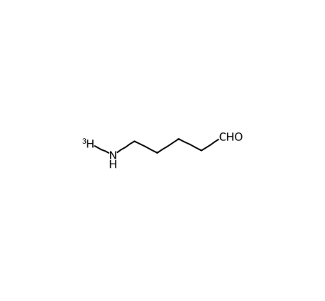 [3H]NCCCCC=O